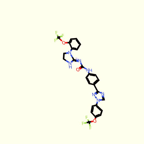 O=C(/N=C1\NCCN1c1ccccc1OC(F)(F)F)Nc1ccc(-c2ncn(-c3ccc(OC(F)(F)F)cc3)n2)cc1